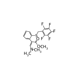 COC(=O)C(=CN(C)C)c1ccccc1SCc1c(F)c(F)c(F)c(F)c1F